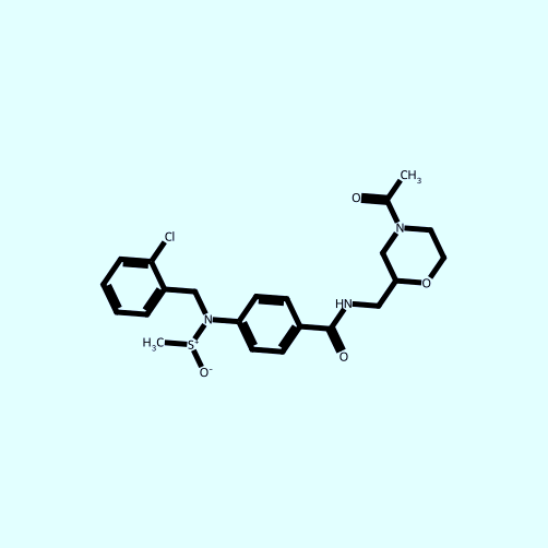 CC(=O)N1CCOC(CNC(=O)c2ccc(N(Cc3ccccc3Cl)[S+](C)[O-])cc2)C1